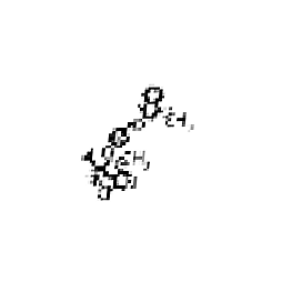 COc1cncc(Cl)c1-c1noc(C2CC2)c1COC12CCC(COc3cc(OC)c4ccccc4n3)(CC1)CC2